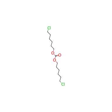 O=C(OCCCCCCCl)OCCCCCCCl